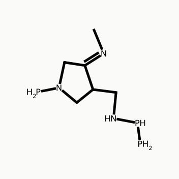 C/N=C1\CN(P)CC1CNPP